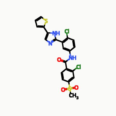 CS(=O)(=O)c1ccc(C(=O)Nc2ccc(Cl)c(-c3ncc(-c4cccs4)[nH]3)c2)c(Cl)c1